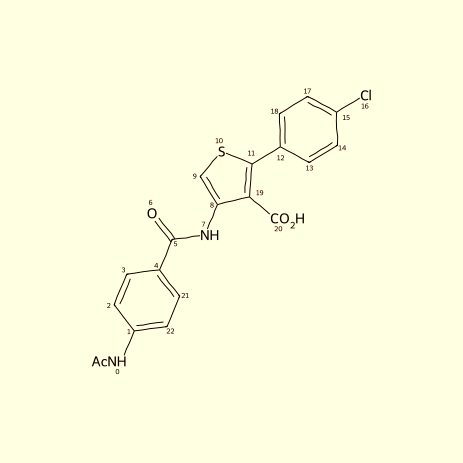 CC(=O)Nc1ccc(C(=O)Nc2csc(-c3ccc(Cl)cc3)c2C(=O)O)cc1